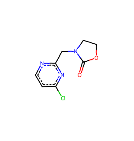 O=C1OCCN1Cc1nccc(Cl)n1